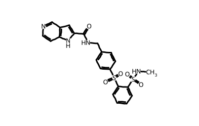 CNS(=O)(=O)c1ccccc1S(=O)(=O)c1ccc(CNC(=O)c2cc3cnccc3[nH]2)cc1